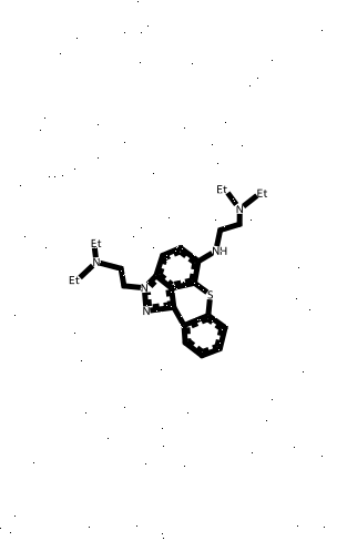 CCN(CC)CCNc1ccc2c3c(nn2CCN(CC)CC)-c2ccccc2Sc13